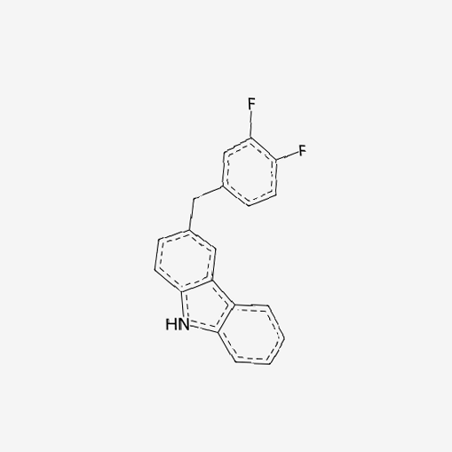 Fc1ccc(Cc2ccc3[nH]c4ccccc4c3c2)cc1F